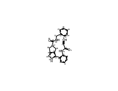 C#CC(=O)Nc1ccccc1-c1[nH]nc2c1CN(C(=O)NCc1ccccc1)C2